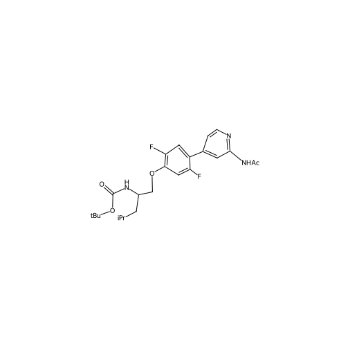 CC(=O)Nc1cc(-c2cc(F)c(OCC(CC(C)C)NC(=O)OC(C)(C)C)cc2F)ccn1